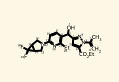 C=C(C)n1nc(C(O)c2ccc(N3CC4C(C3)C4(F)F)nc2CC)cc1C(=O)OCC